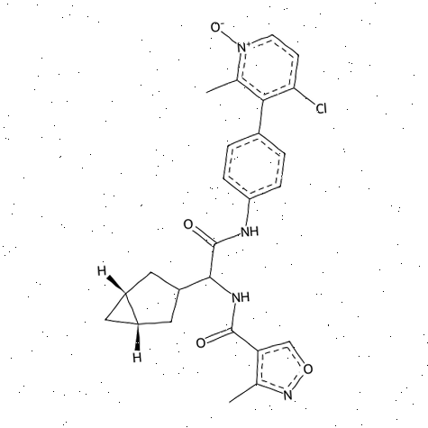 Cc1nocc1C(=O)NC(C(=O)Nc1ccc(-c2c(Cl)cc[n+]([O-])c2C)cc1)C1C[C@@H]2C[C@@H]2C1